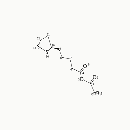 CCCCC(=O)OC(=O)CCCC[C@@H]1CCSS1